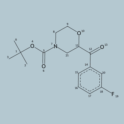 CC(C)(C)OC(=O)N1CCOC(C(=O)c2cccc(F)c2)C1